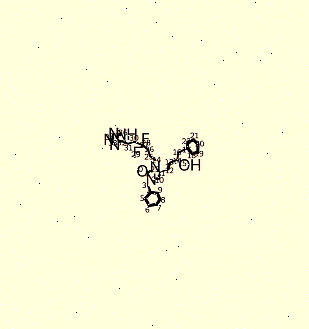 O=C1N(Cc2ccccc2)C[C@H](/C=C/C(O)Cc2ccccc2)N1CCCC(F)(F)CCc1nnn[nH]1